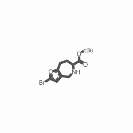 CC(C)(C)OC(=O)C1CCc2oc(Br)cc2CN1